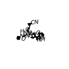 COc1ccnc2[nH]cc(C3CCN(c4nc(OC[C@H]5C[C@H]5C#N)nc(C(=O)NC56CC(C5)C6)n4)CC3)c12